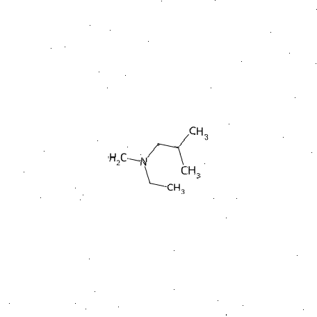 [CH2]N(CC)CC(C)C